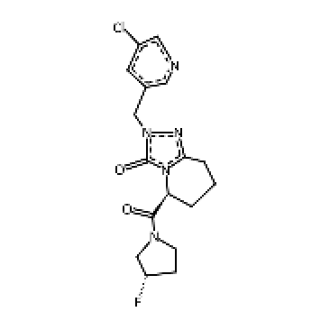 O=C([C@@H]1CCCc2nn(Cc3cncc(Cl)c3)c(=O)n21)N1CC[C@H](F)C1